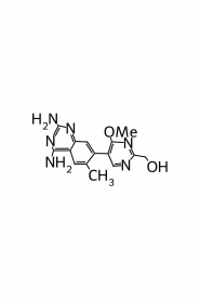 COc1nc(CO)ncc1-c1cc2nc(N)nc(N)c2cc1C